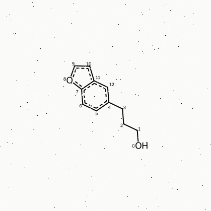 OCCCc1ccc2occc2c1